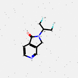 O=C1c2ccncc2CN1C(CF)CF